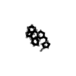 F[C@H]1CCN(CC2CCN(c3ncnc4scc(-c5ccccc5)c34)CC2)C1